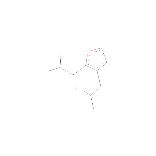 CC(O)Cc1ccoc1CC(C)O